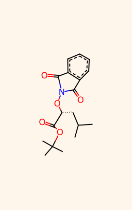 CC(C)C[C@@H](ON1C(=O)c2ccccc2C1=O)C(=O)OC(C)(C)C